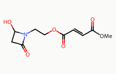 COC(=O)/C=C/C(=O)OCCN1C(=O)CC1O